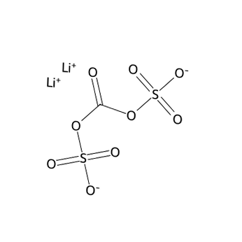 O=C(OS(=O)(=O)[O-])OS(=O)(=O)[O-].[Li+].[Li+]